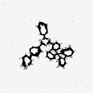 c1ccc(-c2nc(-c3ccc(-c4cccnc4)cc3)nc(-c3cccc4c3-c3ccccc3C43c4ccccc4-c4ccccc43)n2)cc1